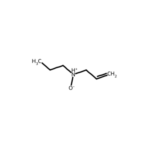 C=CC[NH+]([O-])CCC